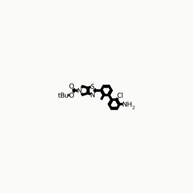 Cc1c(-c2nc3c(s2)CN(C(=O)OC(C)(C)C)C3)cccc1-c1cccc(N)c1Cl